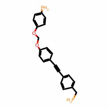 PCc1ccc(C#Cc2ccc(OCOc3ccc(P)cc3)cc2)cc1